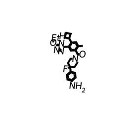 CCOc1nnc(-c2cc(C(=O)N3CCC(F)(c4ccc(N)cc4)CC3)c(C)cc2C2CCC2)[nH]1